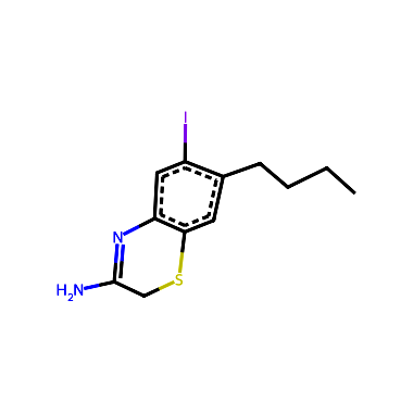 CCCCc1cc2c(cc1I)N=C(N)CS2